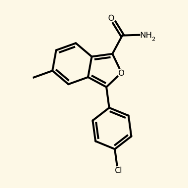 Cc1ccc2c(C(N)=O)oc(-c3ccc(Cl)cc3)c2c1